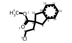 COC(=O)C1(CCCl)Cc2ccccc2C1